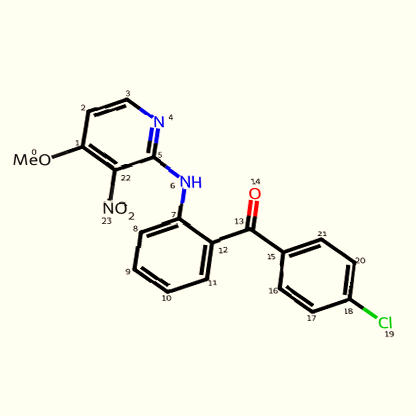 COc1ccnc(Nc2ccccc2C(=O)c2ccc(Cl)cc2)c1[N+](=O)[O-]